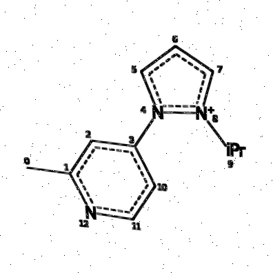 Cc1cc(-n2ccc[n+]2C(C)C)ccn1